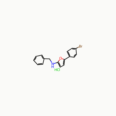 Brc1ccc(-c2ccc(NCc3ccccc3)o2)cc1.Cl